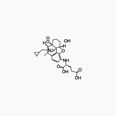 C[N+]1(CC2CC2)CC[C@]23c4c5ccc(N[C@@H](CCC(=O)O)C(=O)O)c4O[C@H]2[C@@H](O)CC[C@@]3(O)[C@H]1C5